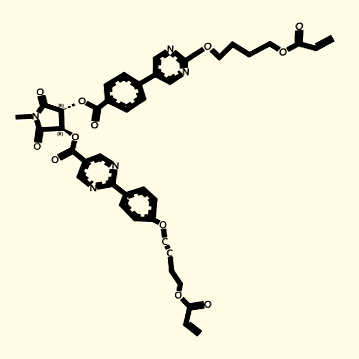 C=CC(=O)OCCCCOc1ccc(-c2ncc(C(=O)O[C@H]3C(=O)N(C)C(=O)[C@@H]3OC(=O)c3ccc(-c4cnc(OCCCCOC(=O)C=C)nc4)cc3)cn2)cc1